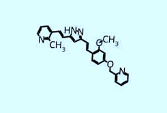 COc1cc(OCc2ccccn2)ccc1/C=C/c1cc(C=Cc2cccnc2C)[nH]n1